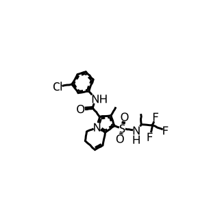 Cc1c(S(=O)(=O)NC(C)C(F)(F)F)c2n(c1C(=O)Nc1cccc(Cl)c1)CCC=C2